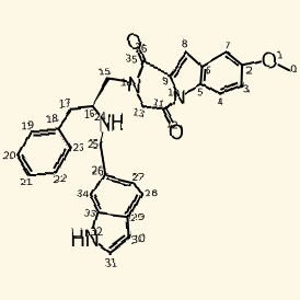 COc1ccc2c(c1)cc1n2C(=O)CN(C[C@H](Cc2ccccc2)NCc2ccc3cc[nH]c3c2)C1=O